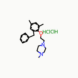 Cc1cc(C)c(OCCN2CCN(C)CC2)c(Cc2ccccc2)c1.Cl.Cl